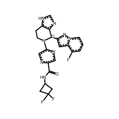 O=C(NC1CC(F)(F)C1)c1cnc(N2CCc3[nH]cnc3[C@H]2c2cc3c(F)cccn3n2)cn1